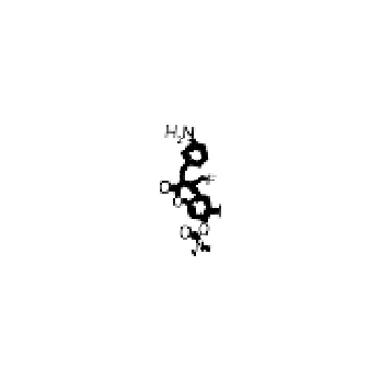 CN(C)C(=O)Oc1cc2oc(=O)c(Cc3cccc(N)c3)c(CF)c2cc1I